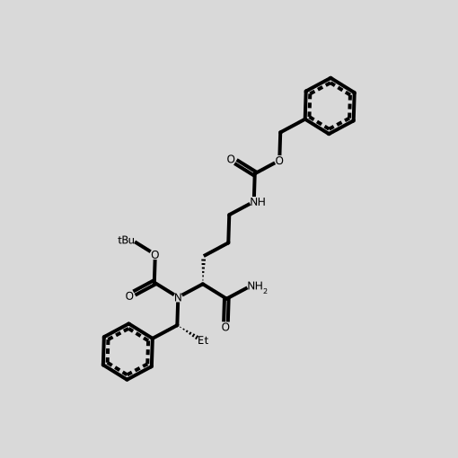 CC[C@H](c1ccccc1)N(C(=O)OC(C)(C)C)[C@H](CCCNC(=O)OCc1ccccc1)C(N)=O